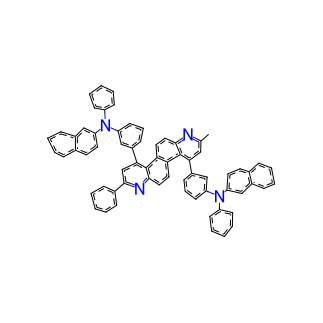 Cc1cc(-c2cccc(N(c3ccccc3)c3ccc4ccccc4c3)c2)c2c(ccc3c2ccc2nc(-c4ccccc4)cc(-c4cccc(N(c5ccccc5)c5ccc6ccccc6c5)c4)c23)n1